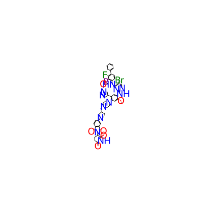 COc1cc(N2CCN(C[C@H]3CCN(c4ccc5c(c4)C(=O)N(C4CCC(=O)NC4=O)C5=O)C3)CC2)c(-c2cnn(C)c2)cc1Nc1ncc(Br)c(Nc2ccc(-c3ccccc3)c(F)c2P(C)(C)=O)n1